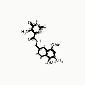 COc1cc(C)c(OC)c2c1CC(CNC(=O)c1[nH]c(=O)[nH]c(=O)c1N)CC2